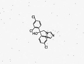 OC(Cn1cncn1)(c1ccc(Cl)cc1)c1ccc(Cl)cc1Cl